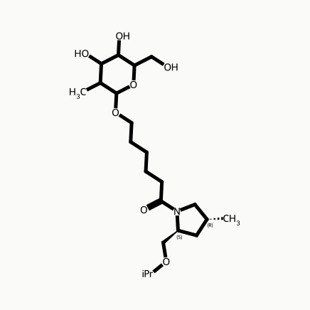 CC(C)OC[C@@H]1C[C@@H](C)CN1C(=O)CCCCCOC1OC(CO)C(O)C(O)C1C